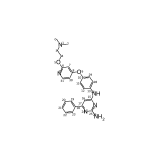 CN(C)CCOc1cc(Oc2ccc(Nc3cc(-c4ccccc4)nc(N)n3)cc2)ccn1